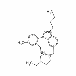 CCC1CCN(Cc2ccc3c(c2)c(-c2ccc(C)cc2CN)cn3CCCN)CC1